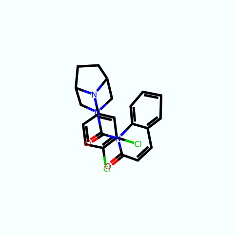 O=C(N1CC2CCC(C1)N2c1ccc(Cl)c(Cl)c1)n1c(=O)ccc2ccccc21